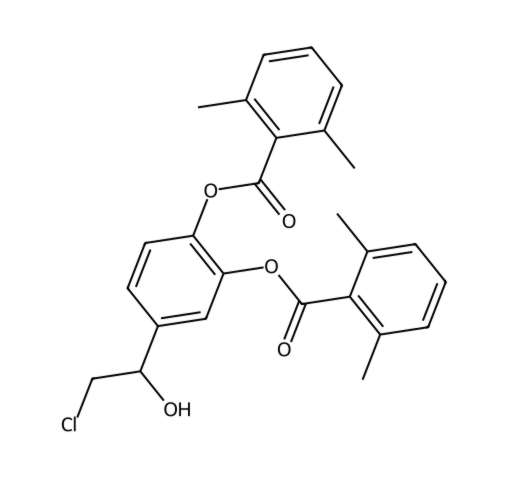 Cc1cccc(C)c1C(=O)Oc1ccc(C(O)CCl)cc1OC(=O)c1c(C)cccc1C